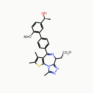 COc1ccc([C@H](C)O)cc1-c1ccc(C2=NC(CC(=O)O)c3nnc(C)n3-c3sc(C)c(C)c32)cc1